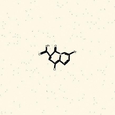 CCCC(=O)c1cc(Cl)c2ccc(Br)cn2c1=O